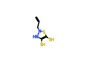 C=CCN1NC(S)=C(S)S1